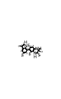 Cc1c[nH]c2c(-c3c(F)cc4c(c3F)NC(=S)C(C)(C)N4)cc(F)cc12